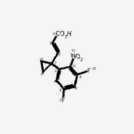 O=C(O)/C=C/C1(c2cc(F)cc(F)c2[N+](=O)[O-])CC1